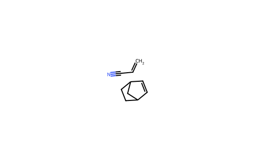 C1=CC2CCC1C2.C=CC#N